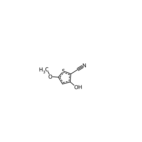 COc1cc(O)c(C#N)s1